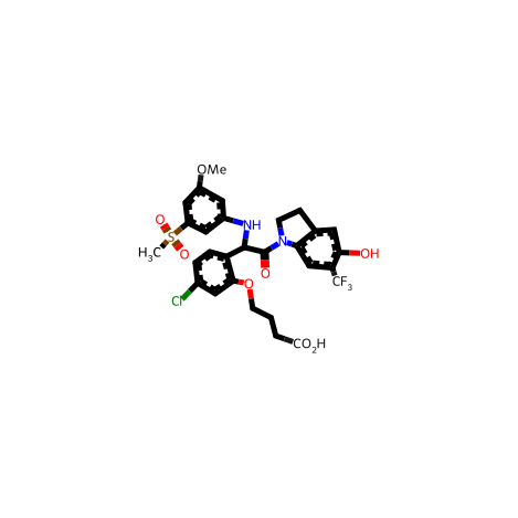 COc1cc(NC(C(=O)N2CCc3cc(O)c(C(F)(F)F)cc32)c2ccc(Cl)cc2OCCCC(=O)O)cc(S(C)(=O)=O)c1